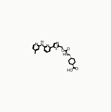 Cc1ccnc(Nc2cccc(-c3cnc(COC(=O)NC[C@H]4CC[C@H](C(=O)O)CC4)s3)n2)c1